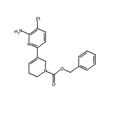 CCc1ccc(C2=CCCN(C(=O)OCc3ccccc3)C2)nc1N